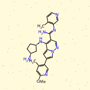 COc1cc(C)c(-c2cc3c(N[C@@H]4CC[C@H](N)C4)c(/C(N)=N/c4cnccc4C)cnn3c2)cn1